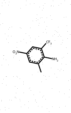 Cc1cc([N+](=O)[O-])cc(C(F)(F)F)c1N